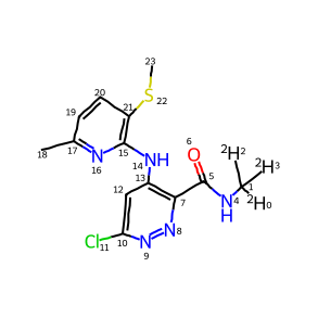 [2H]C([2H])([2H])NC(=O)c1nnc(Cl)cc1Nc1nc(C)ccc1SC